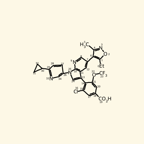 CCc1onc(C)c1-c1cnc2c(c1)c(-c1c(Cl)cc(C(=O)O)cc1OC(F)(F)F)cn2-c1ccc(C2CC2)nc1